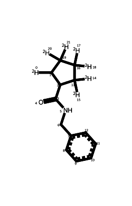 [2H]C1C(C(=O)NCc2ccccc2)C([2H])([2H])C([2H])([2H])C1([2H])[2H]